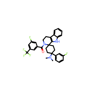 CN(C)C1(c2cccc(F)c2)CCC2(CC1)c1[nH]c3ccccc3c1CCN2C(=O)c1cc(F)cc(C(F)(F)F)c1